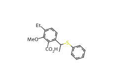 CCc1ccc(C(C)Sc2ccccc2)c(C(=O)O)c1OC